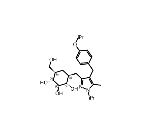 Cc1c(Cc2ccc(OC(C)C)cc2)c(C[C@@H]2C[C@H](CO)[C@@H](O)[C@H](O)[C@H]2O)nn1C(C)C